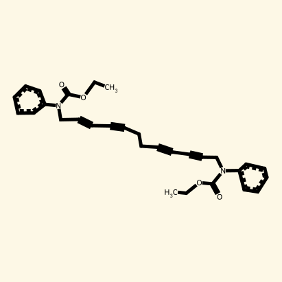 CCOC(=O)N(CC#CC#CCCC#CC#CCN(C(=O)OCC)c1ccccc1)c1ccccc1